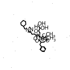 CC(C)(C)S(=O)(=O)CC(Cc1ccccc1)C(=O)NN(C[C@@H](O)C(O)CO)C(=O)CCc1cn(CC2CCCCC2)cn1